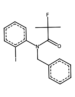 CC(C)(F)C(=O)N(Cc1ccccc1)c1ccccc1I